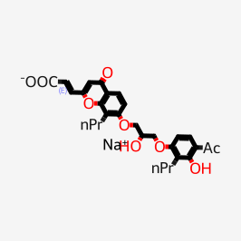 CCCc1c(OCC(O)COc2ccc3c(=O)cc(/C=C/C(=O)[O-])oc3c2CCC)ccc(C(C)=O)c1O.[Na+]